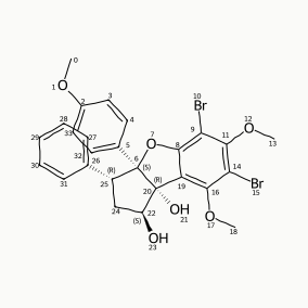 COc1ccc([C@]23Oc4c(Br)c(OC)c(Br)c(OC)c4[C@@]2(O)[C@@H](O)C[C@@H]3c2ccccc2)cc1